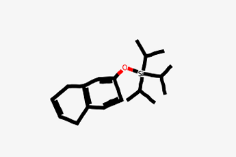 CC(C)[Si](Oc1ccc2c(c1)[CH]C=CC2)(C(C)C)C(C)C